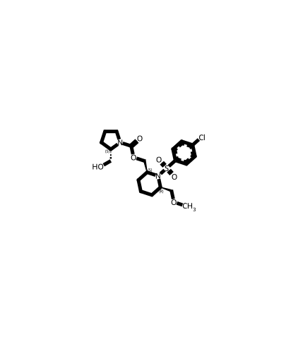 COC[C@H]1CCC[C@@H](COC(=O)N2CCC[C@H]2CO)N1S(=O)(=O)c1ccc(Cl)cc1